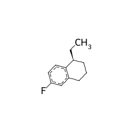 CC[C@H]1CCCc2cc(F)ccc21